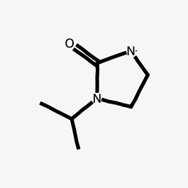 CC(C)N1CC[N]C1=O